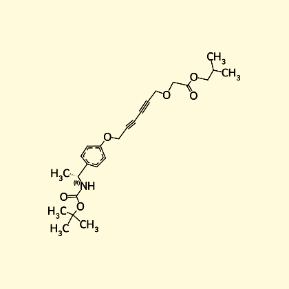 CC(C)COC(=O)COCC#CC#CCOc1ccc([C@@H](C)NC(=O)OC(C)(C)C)cc1